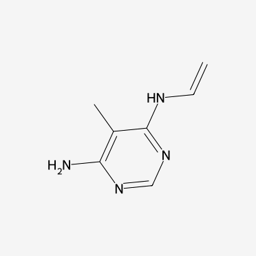 C=CNc1ncnc(N)c1C